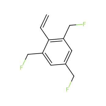 C=Cc1c(CF)cc(CF)cc1CF